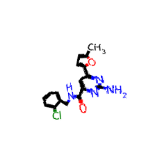 Cc1ccc(-c2cc(C(=O)NCc3ccccc3Cl)nc(N)n2)o1